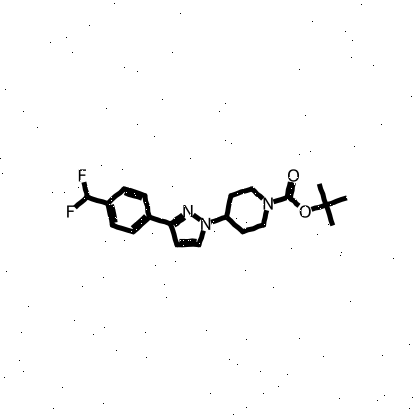 CC(C)(C)OC(=O)N1CCC(n2ccc(-c3ccc(C(F)F)cc3)n2)CC1